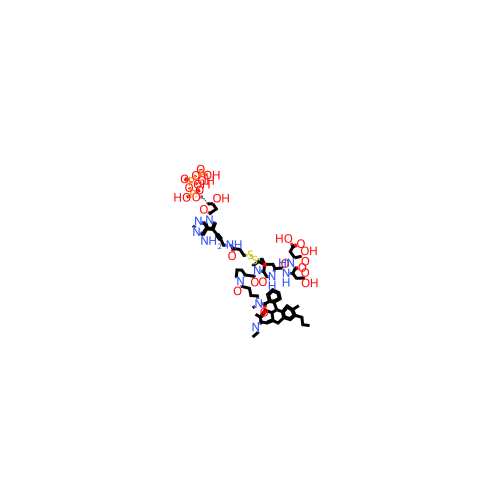 CCCc1cc2c(cc1C)C(c1ccccc1C(=O)N(C)CCCC(=O)N1CCCC1C(=O)N1CCCC1C(=O)NC(CCCSSCCC(=O)NCC#Cc1cn([C@H]3CC(O)[C@@H](COP(=O)(O)OP(=O)(O)OP(=O)(O)O)O3)c3ncnc(N)c13)C(=O)NC(CC(=O)O)C(=O)NC(CC(=O)O)C(=O)O)C1C=C(C)/C(=N/CC)C=C1C2